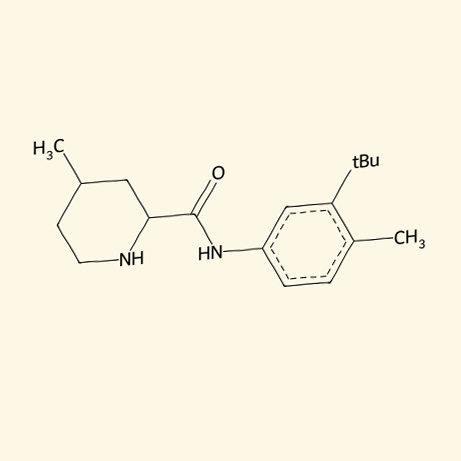 Cc1ccc(NC(=O)C2CC(C)CCN2)cc1C(C)(C)C